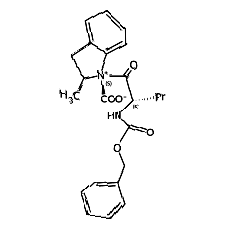 CC(C)[C@H](NC(=O)OCc1ccccc1)C(=O)[N@@+]1(C(=O)[O-])c2ccccc2CC1C